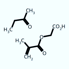 C=C(C)C(=O)OCC(=O)O.CCC(C)=O